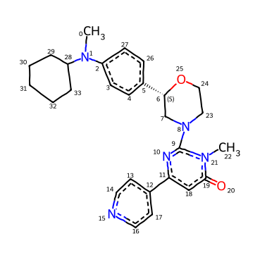 CN(c1ccc([C@H]2CN(c3nc(-c4ccncc4)cc(=O)n3C)CCO2)cc1)C1CCCCC1